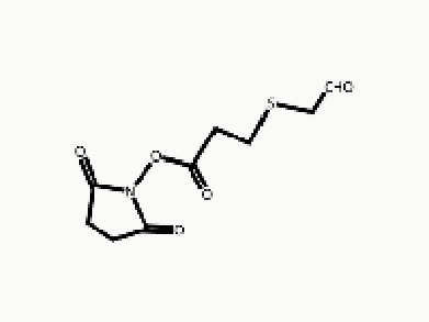 O=CCSCCC(=O)ON1C(=O)CCC1=O